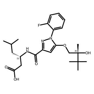 CC(C)C[C@@H](CC(=O)O)NC(=O)c1cc(OC[C@](C)(O)C(C)(C)C)n(-c2ccccc2F)n1